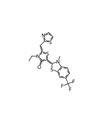 CCn1c(=O)/c(=C2\Sc3cc(C(F)(F)F)ccc3N2C)s/c1=C\c1nccs1